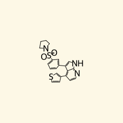 O=S(=O)(c1cccc(-c2c[nH]c3nccc(-c4ccsc4)c23)c1)N1CCCC1